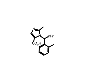 CCCC(c1ccccc1C)n1c(C(=O)O)cnc1C